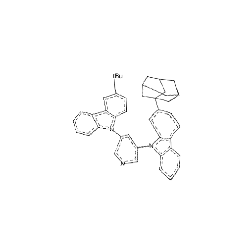 CC(C)(C)c1ccc2c(c1)c1ccccc1n2-c1cncc(-n2c3ccccc3c3ccc(C45CC6CC(CC(C6)C4)C5)cc32)c1